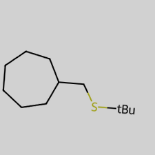 CC(C)(C)SCC1CCCCCC1